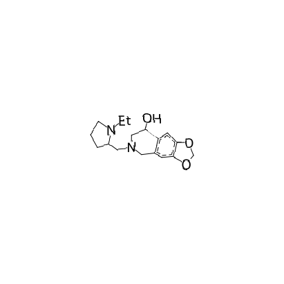 CCN1CCCC1CN1Cc2cc3c(cc2C(O)C1)OCO3